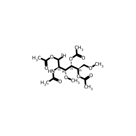 [2H]C(OC(C)=O)[C@H](NC(C)=O)[C@@H](OC)[C@H](OC(C)=O)[C@@H](COC)OC(C)=O